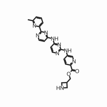 Cc1cccc(-c2nccc(Nc3ccnc(Nc4ccc(C(=O)OCC5CNC5)nc4)n3)n2)n1